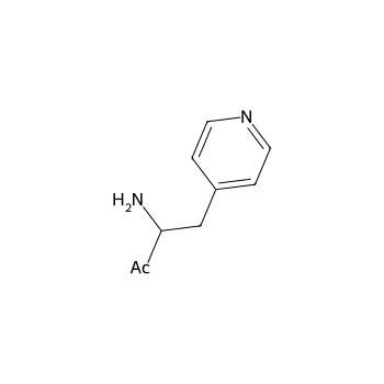 CC(=O)C(N)Cc1ccncc1